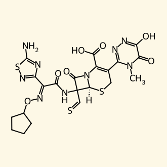 Cn1c(C2=C(C(=O)O)N3C(=O)C(C=S)(NC(=O)C(=NOC4CCCC4)c4nsc(N)n4)[C@@H]3SC2)nnc(O)c1=O